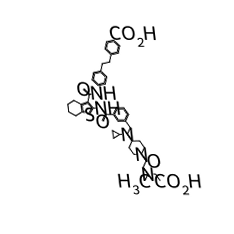 CN(CC(=O)O)CC(=O)N1CCC(N(Cc2cccc(C(=O)Nc3sc4c(c3C(=O)Nc3ccc(CCc5ccc(C(=O)O)cc5)cc3)CCCC4)c2)C2CC2)CC1